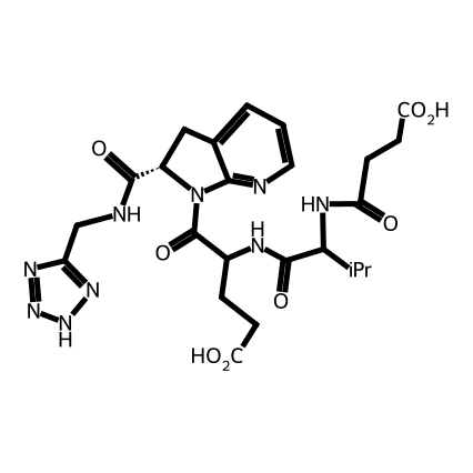 CC(C)C(NC(=O)CCC(=O)O)C(=O)NC(CCC(=O)O)C(=O)N1c2ncccc2C[C@H]1C(=O)NCc1nn[nH]n1